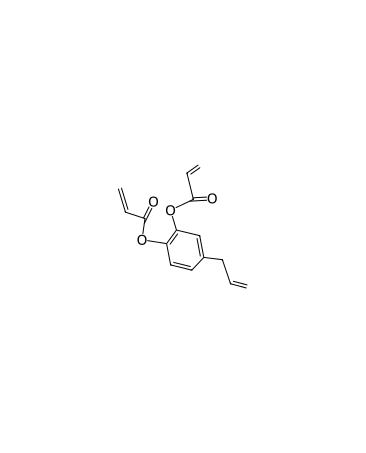 C=CCc1ccc(OC(=O)C=C)c(OC(=O)C=C)c1